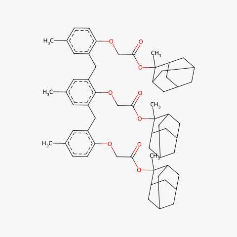 Cc1ccc(OCC(=O)OC2(C)C3CC4CC(C3)CC2C4)c(Cc2cc(C)cc(Cc3cc(C)ccc3OCC(=O)OC3(C)C4CC5CC(C4)CC3C5)c2OCC(=O)OC2(C)C3CC4CC(C3)CC2C4)c1